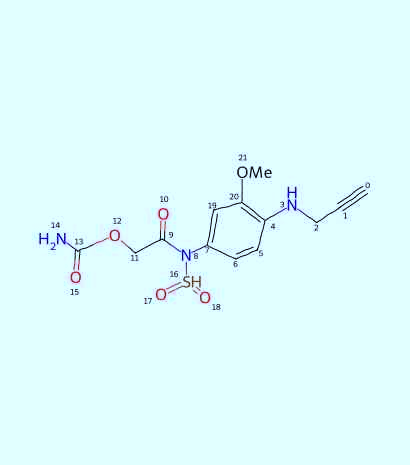 C#CCNc1ccc(N(C(=O)COC(N)=O)[SH](=O)=O)cc1OC